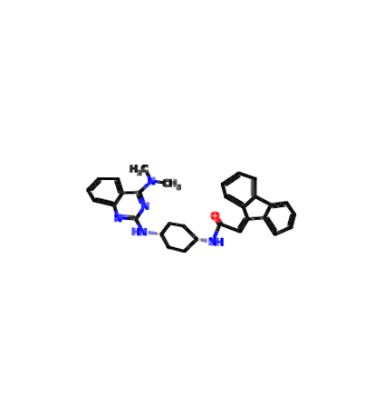 CN(C)c1nc(N[C@H]2CC[C@@H](NC(=O)C=C3c4ccccc4-c4ccccc43)CC2)nc2ccccc12